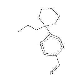 CCCC1(c2ccc(C=O)cc2)CCCCC1